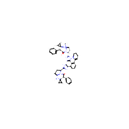 CCNC1(C(C(=O)N2CCCC2c2ncc(-c3cccc(-c4ccccc4)c3-c3cnc([C@@H]4CCCN4C(=O)[C@H](c4ccccc4)C4(NCC)CC4)[nH]3)[nH]2)c2ccccc2)CC1